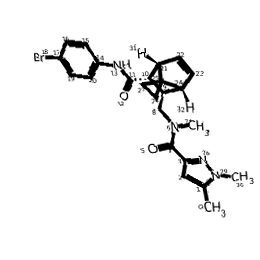 Cc1cc(C(=O)N(C)C[C@H]2[C@H](C(=O)Nc3ccc(Br)cc3)[C@@H]3C=C[C@H]2C32CC2)nn1C